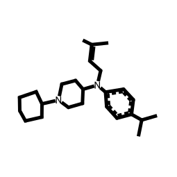 CC(C)=CCN(c1ccc(C(C)C)cc1)C1CCN(C2CCCCC2)CC1